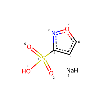 O=S(=O)(O)c1ccon1.[NaH]